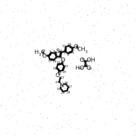 COc1ccc(-c2sc3cc(OC)ccc3c2Oc2ccc(OCCN3CCCCC3)cc2)cc1.O=C(O)C(=O)O